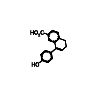 O=C(O)c1ccc2c(c1)C(c1ccc(O)cc1)=CCC2